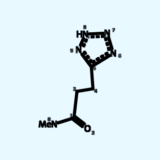 CNC(=O)CCc1nn[nH]n1